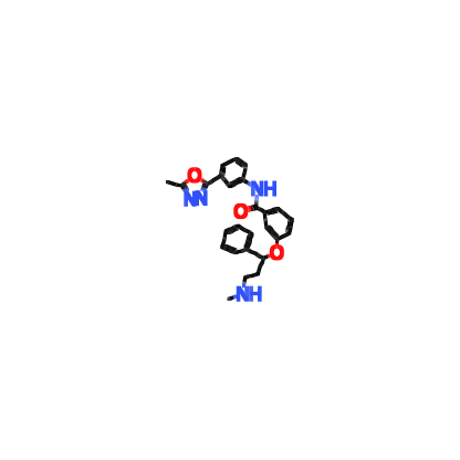 CNCCC(Oc1cccc(C(=O)Nc2cccc(-c3nnc(C)o3)c2)c1)c1ccccc1